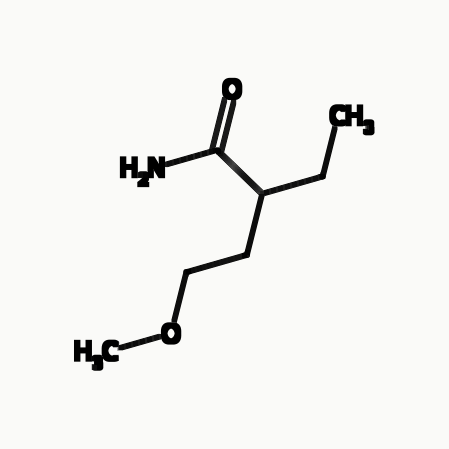 CCC(CCOC)C(N)=O